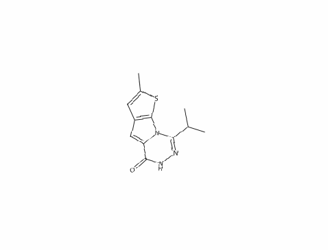 Cc1cc2cc3c(=O)[nH]nc(C(C)C)n3c2s1